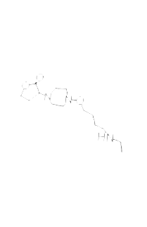 CCNCCCCON1CCN(C2CCOC2=O)CC1